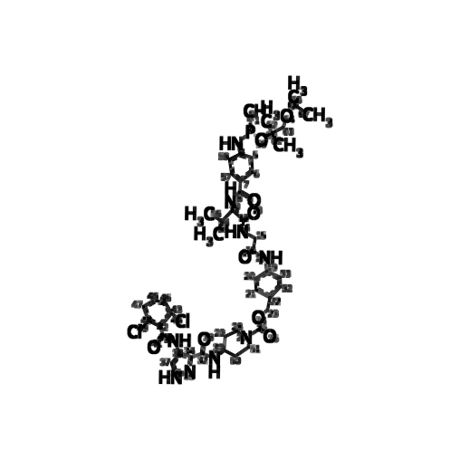 C#CP(Nc1ccc(C(=O)NC(C(=O)NCC(=O)Nc2ccc(COC(=O)N3CCC(NC(=O)c4n[nH]cc4NC(=O)c4c(Cl)cccc4Cl)CC3)cc2)C(C)C)cc1)OC(C)(C)COC(C)C